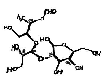 C[C@H](OC=O)C(CO)O[C@@H](O[C@@H]1C(O)OC(CO)[C@@H](O)C1O)[C@@H](O)CO